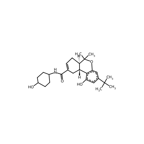 CC(C)(C)c1cc(O)c2c(c1)OC(C)(C)[C@@H]1CC=C(C(=O)NC3CCC(O)CC3)C[C@@H]21